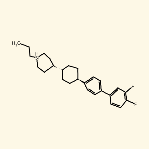 CCC[SiH]1CCC([C@H]2CC[C@H](c3ccc(-c4ccc(F)c(F)c4)cc3)CC2)CC1